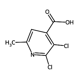 Cc1cc(C(=O)O)c(Cl)c(Cl)n1